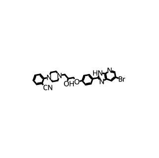 N#Cc1ccccc1N1CCN(CC(O)COc2ccc(-c3nc4cc(Br)cnc4[nH]3)cc2)CC1